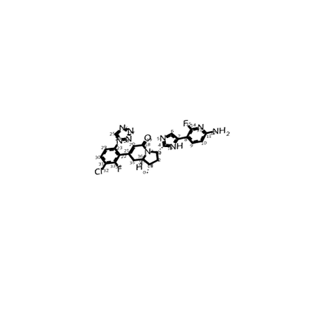 C[C@H]1C[C@@H](c2ncc(-c3ccc(N)nc3F)[nH]2)N2C(=O)C=C(c3c(-n4cnnn4)ccc(Cl)c3F)C[C@H]12